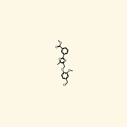 COC(=O)c1cccc(-c2nc(COc3ccc(CCl)cc3OC)c(C)o2)c1